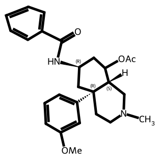 COc1cccc([C@@]23CCN(C)C[C@H]2C(OC(C)=O)C[C@H](NC(=O)c2ccccc2)C3)c1